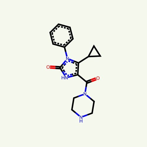 O=C(c1[nH]c(=O)n(-c2ccccc2)c1C1CC1)N1CCNCC1